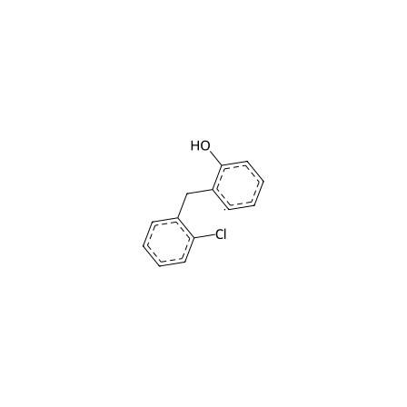 Oc1ccc[c]c1Cc1ccccc1Cl